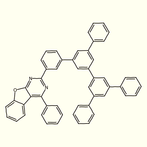 c1ccc(-c2cc(-c3ccccc3)cc(-c3cc(-c4ccccc4)cc(-c4cccc(-c5nc(-c6ccccc6)c6c(n5)oc5ccccc56)c4)c3)c2)cc1